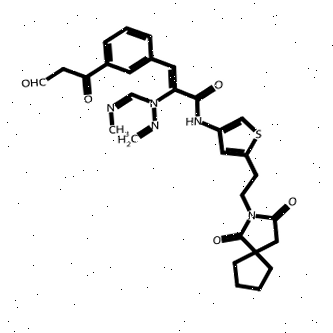 C=NN(/C=N\C)/C(=C\c1cccc(C(=O)CC=O)c1)C(=O)Nc1csc(CCN2C(=O)CC3(CCCC3)C2=O)c1